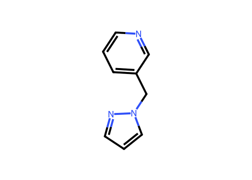 c1cncc(Cn2cccn2)c1